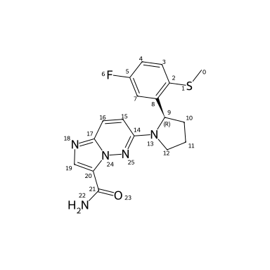 CSc1ccc(F)cc1[C@H]1CCCN1c1ccc2ncc(C(N)=O)n2n1